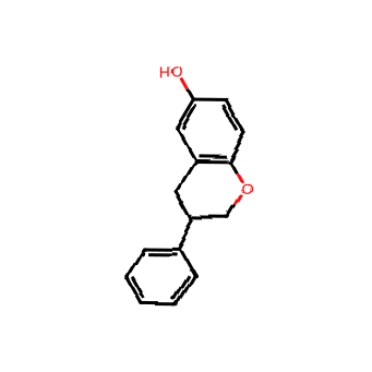 Oc1ccc2c(c1)CC(c1ccccc1)CO2